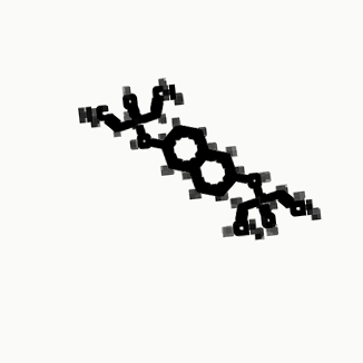 C=CP(=O)(C=C)Oc1ccc2cc(OP(=O)(C=C)C=C)ccc2c1